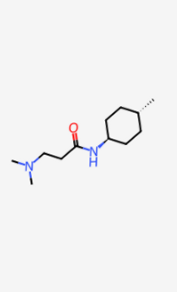 CN(C)CCC(=O)N[C@H]1CC[C@H](C)CC1